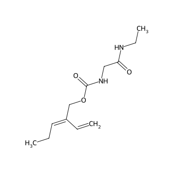 C=C/C(=C\CC)COC(=O)NCC(=O)NCC